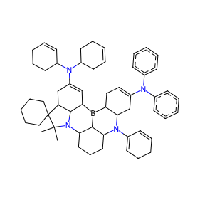 CC1(C)N2C3CCCC4C3B(C3C=C(N(C5C=CCCC5)C5CC=CCC5)CC(C32)C12CCCCC2)C1CC=C(N(c2ccccc2)c2ccccc2)CC1N4C1=CCCC=C1